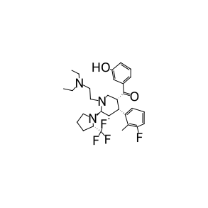 CCN(CC)CCN1C[C@H](C(=O)c2cccc(O)c2)[C@H](c2cccc(F)c2C)[CH][C@H]1N1CCC[C@H]1C(F)(F)F